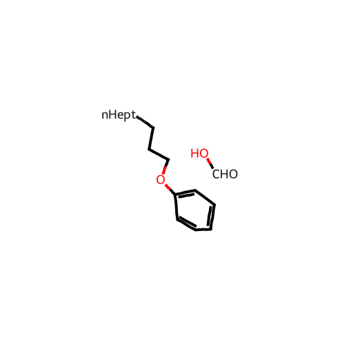 CCCCCCCCCCOc1ccccc1.O=CO